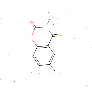 Cc1ccc2oc(=O)n(C)c(=S)c2c1